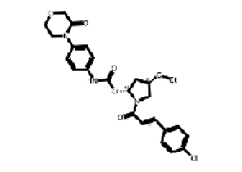 CCO[C@@H]1C[C@@H](OC(=O)Nc2ccc(N3CCOCC3=O)cc2)N(C(=O)/C=C/c2ccc(Cl)cc2)C1